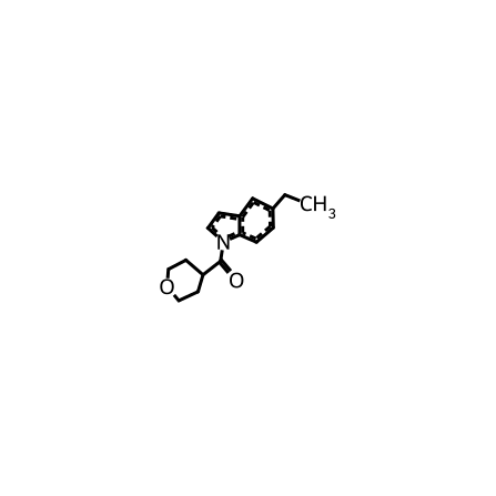 CCc1ccc2c(ccn2C(=O)C2CCOCC2)c1